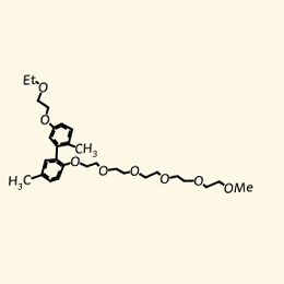 CCOCCOc1ccc(C)c(-c2cc(C)ccc2OCCOCCOCCOCCOCCOC)c1